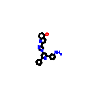 Nc1cccc(-c2cc(-n3cnc(-c4ccc5c(n4)CCCC5=O)c3)cc(-c3ccccc3)n2)c1